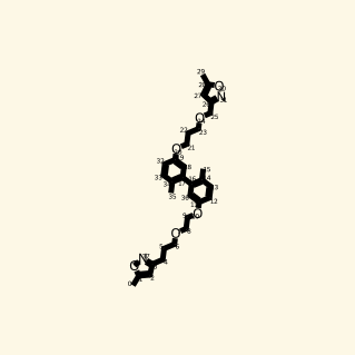 Cc1cc(CCCOCCOc2ccc(C)c(-c3cc(OCCCOCc4cc(C)on4)ccc3C)c2)no1